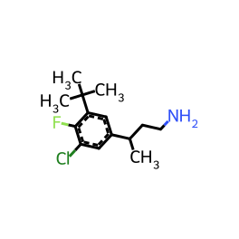 CC(CCN)c1cc(Cl)c(F)c(C(C)(C)C)c1